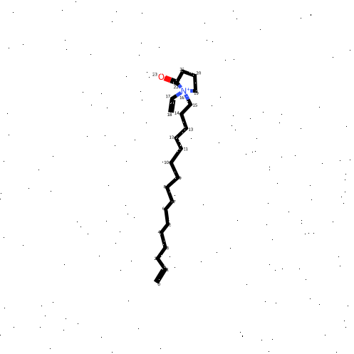 C=CCCCCCCCCCCCCCC[N+]1(C=C)CCCC1=O